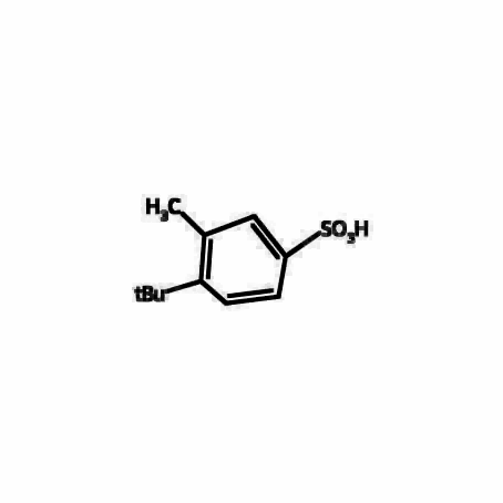 Cc1cc(S(=O)(=O)O)ccc1C(C)(C)C